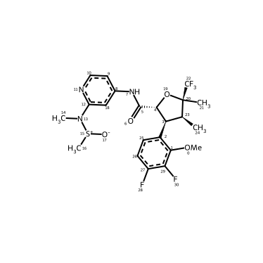 COc1c([C@H]2[C@H](C(=O)Nc3ccnc(N(C)[S+](C)[O-])c3)O[C@@](C)(C(F)(F)F)[C@H]2C)ccc(F)c1F